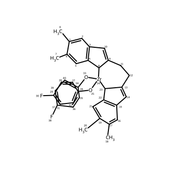 Cc1cc2c(cc1C)[CH]1C(=C2)CCC2=Cc3cc(C)c(C)cc3[CH]2[Zr]1([O]c1ccc(F)cc1)[O]c1ccc(F)cc1